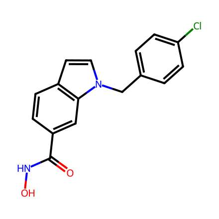 O=C(NO)c1ccc2ccn(Cc3ccc(Cl)cc3)c2c1